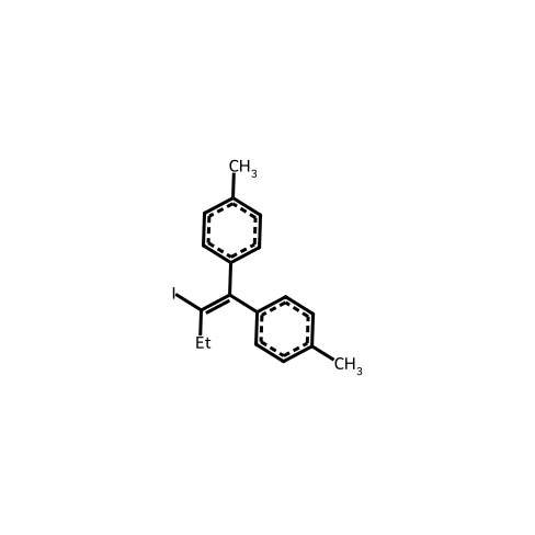 CCC(I)=C(c1ccc(C)cc1)c1ccc(C)cc1